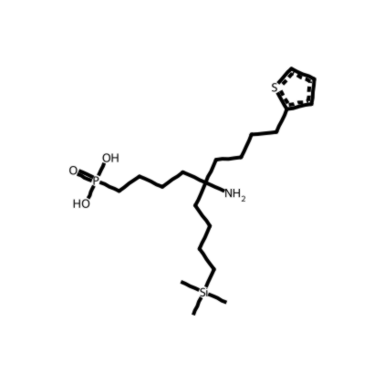 C[Si](C)(C)CCCCC(N)(CCCCc1cccs1)CCCCP(=O)(O)O